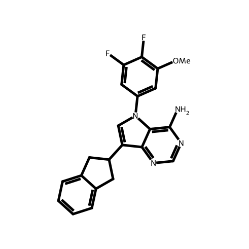 COc1cc(-n2cc(C3Cc4ccccc4C3)c3ncnc(N)c32)cc(F)c1F